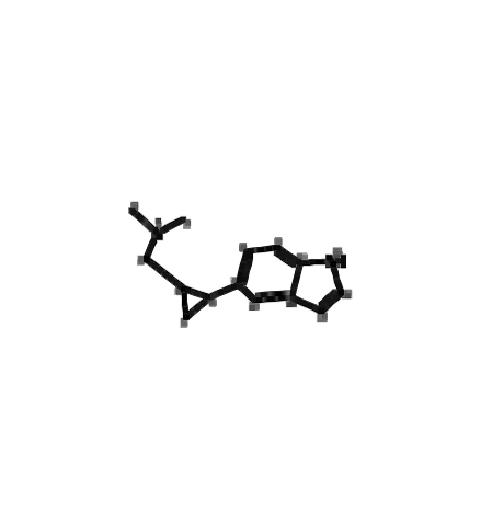 CN(C)CC1CC1c1ccc2[nH]ccc2c1